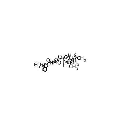 CC(C)CCNC(=O)[C@@H](CC(C)C)NC(=O)[C@@H]1O[C@H]1C(=O)OCCNC(=O)C1=CN(C)c2ccccc2C1